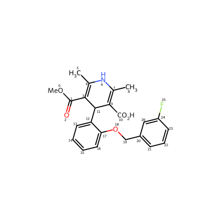 COC(=O)C1=C(C)NC(C)=C(C(=O)O)C1c1ccccc1OCc1cccc(F)c1